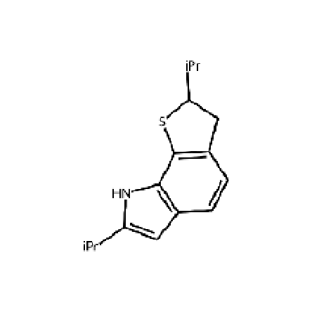 CC(C)c1cc2ccc3c(c2[nH]1)SC(C(C)C)C3